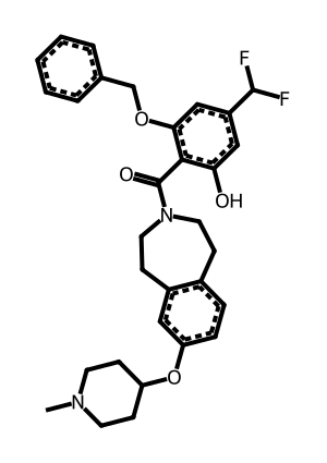 CN1CCC(Oc2ccc3c(c2)CCN(C(=O)c2c(O)cc(C(F)F)cc2OCc2ccccc2)CC3)CC1